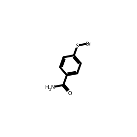 NC(=O)c1ccc(SBr)cc1